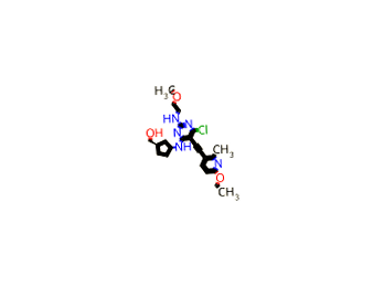 CCOc1ccc(C#Cc2c(Cl)nc(NCCOC)nc2N[C@H]2CC[C@@H](CO)C2)c(C)n1